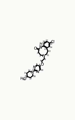 O=C1CCN(CCOc2cnc(N3CCC(O)CC3)nc2)CCc2cc(Cl)ccc2N1